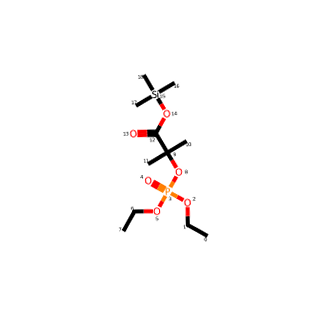 CCOP(=O)(OCC)OC(C)(C)C(=O)O[Si](C)(C)C